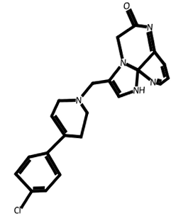 O=C1CN2C(CN3CC=C(c4ccc(Cl)cc4)CC3)=CNC23N=CC=CC3=N1